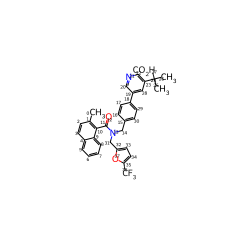 Cc1ccc2ccccc2c1C(=O)N(Cc1ccc(-c2cncc(C(C)(C)C(=O)O)c2)cc1)Cc1ccc(C(F)(F)F)o1